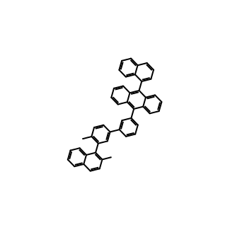 Cc1ccc(-c2cccc(-c3c4ccccc4c(-c4cccc5ccccc45)c4ccccc34)c2)cc1-c1c(C)ccc2ccccc12